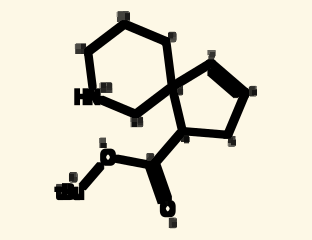 CC(C)(C)OC(=O)C1CC=CC12CCCNC2